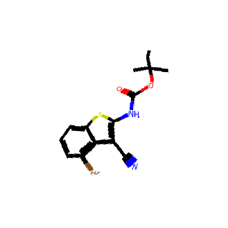 CC(C)(C)OC(=O)Nc1sc2cccc(Br)c2c1C#N